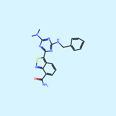 CN(C)c1nc(NCc2ccccc2)nc(-c2snc3c(C(N)=O)cccc23)n1